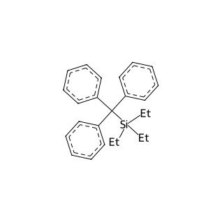 CC[Si](CC)(CC)C(c1ccccc1)(c1ccccc1)c1ccccc1